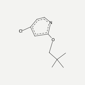 CC(C)(C)COc1cc(Cl)ccn1